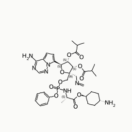 C=NC[C@]1(COP(=O)(N[C@@H](C)C(=O)O[C@H]2CC[C@H](N)CC2)Oc2ccccc2)O[C@@H](c2ccc3c(N)ncnn23)[C@H](OC(=O)C(C)C)[C@@H]1OC(=O)C(C)C